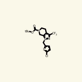 CC(C)(C)OC(=O)N1CCc2c(C(F)(F)F)nn(Cc3ccc(Cl)s3)c2C1